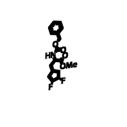 COC(=O)C(CC1C[C@@H](F)[C@@H](F)C1)NC(=O)OCc1ccccc1